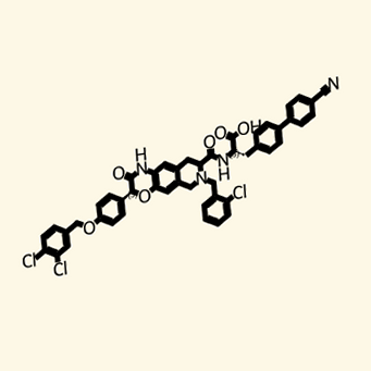 N#Cc1ccc(-c2ccc(C[C@H](NC(=O)C3Cc4cc5c(cc4CN3Cc3ccccc3Cl)O[C@@H](c3ccc(OCc4ccc(Cl)c(Cl)c4)cc3)C(=O)N5)C(=O)O)cc2)cc1